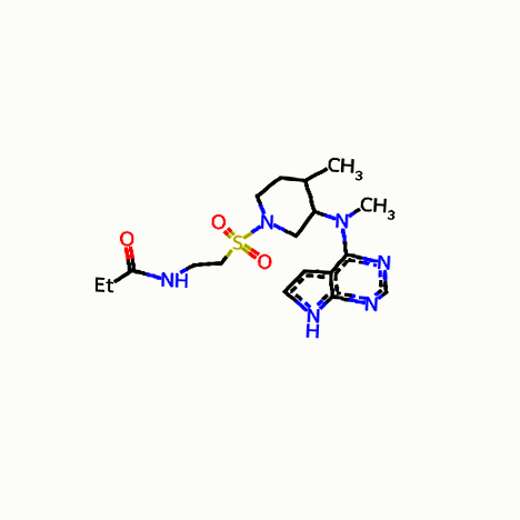 CCC(=O)NCCS(=O)(=O)N1CCC(C)C(N(C)c2ncnc3[nH]ccc23)C1